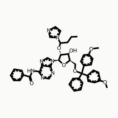 CCCC(O[C@@H]1[C@H](O)[C@@H](COC(c2ccccc2)(c2ccc(OC)cc2)c2ccc(OC)cc2)O[C@H]1n1cnc2c(NC(=O)c3ccccc3)ncnc21)n1ccnc1